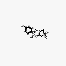 O=S1(=O)CCC(OS(=O)(=O)c2ccc(F)cc2)C1